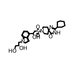 O=C1NC(C2CCCCC2)=NC12CCN(S(=O)(=O)CC(O)c1cccc3c1ccn3C[C@H](O)CO)CC2